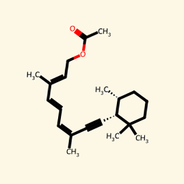 CC(=O)OCC=C(C)C=CC=C(C)C#C[C@@H]1[C@H](C)CCCC1(C)C